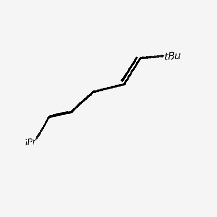 [CH2]C(C)CCCC=CC(C)(C)C